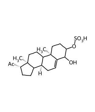 CC(=O)[C@H]1CCC2[C@@H]3CC=C4C(O)C(OS(=O)(=O)O)CC[C@]4(C)C3CC[C@@]21C